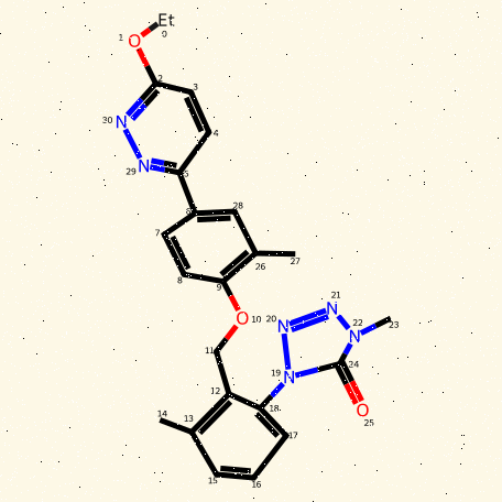 CCOc1ccc(-c2ccc(OCc3c(C)cccc3-n3nnn(C)c3=O)c(C)c2)nn1